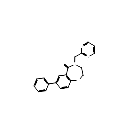 O=C1c2cc(-c3cc[c]cc3)ccc2OCCN1Cc1ncccn1